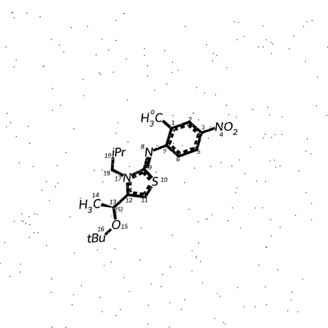 Cc1cc([N+](=O)[O-])ccc1N=c1scc([C@H](C)OC(C)(C)C)n1CC(C)C